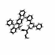 C#C/C(=C\C=C/C)c1nc(-c2cccc(-n3c4ccccc4c4cc5c(cc43)C(C)(C)c3ccccc3N5c3ccccc3)c2)nc(C2C=CC=CC2)n1